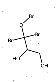 OCC(O)C(Br)(Br)OBr